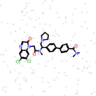 CN(C)C(=O)c1ccc(-c2ccc(C(CN3CCCC3)N(C)C(=O)Cn3c(=O)cnc4cc(Cl)c(Cl)cc43)cc2)cc1